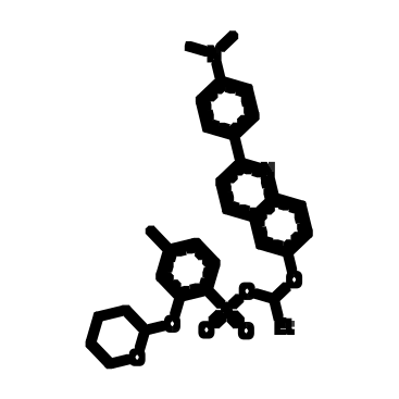 CCC(Oc1ccc2nc(-c3ccc(N(C)C)cc3)ccc2c1)OS(=O)(=O)c1ccc(C)cc1OC1CCCCO1